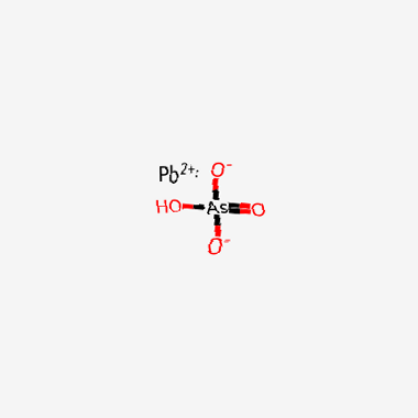 O=[As]([O-])([O-])O.[Pb+2]